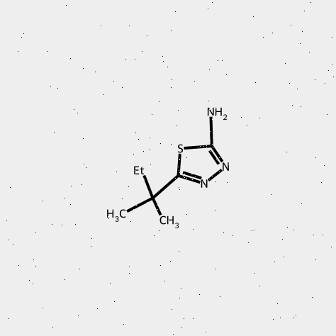 CCC(C)(C)c1nnc(N)s1